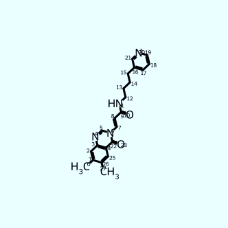 Cc1cc2ncn(C=CC(=O)NCCCCc3cccnc3)c(=O)c2cc1C